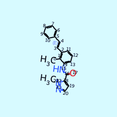 Cc1c(/C=C/c2ccccc2)cccc1NC(=O)c1ccnn1C